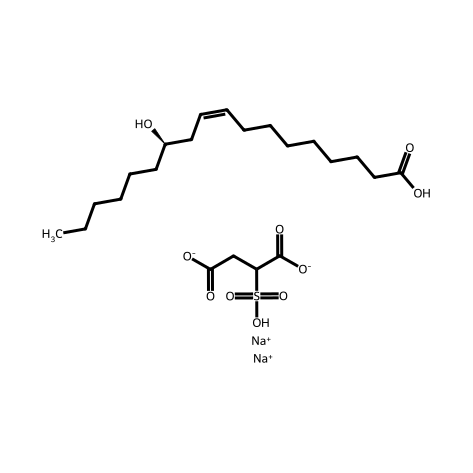 CCCCCC[C@@H](O)C/C=C\CCCCCCCC(=O)O.O=C([O-])CC(C(=O)[O-])S(=O)(=O)O.[Na+].[Na+]